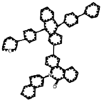 O=c1c2ccccc2c2cc(-c3ccc4c(-c5ccc(-c6ccccc6)cc5)c5ccccc5c(-c5ccc(-c6ccccc6)cc5)c4c3)ccc2n1-c1ccc2ccccc2c1